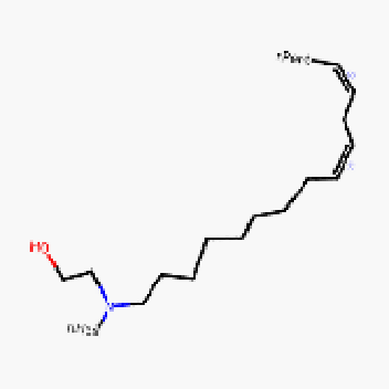 CCCCC/C=C\C/C=C\CCCCCCCCN(CCO)CCCCCC